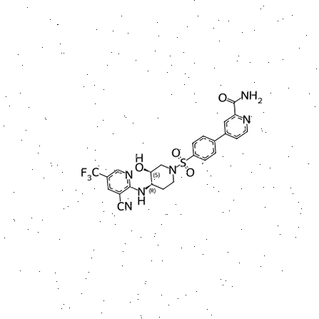 N#Cc1cc(C(F)(F)F)cnc1N[C@@H]1CCN(S(=O)(=O)c2ccc(-c3ccnc(C(N)=O)c3)cc2)C[C@@H]1O